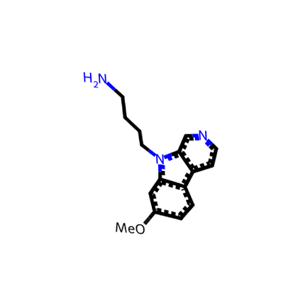 COc1ccc2c3ccncc3n(CCCCN)c2c1